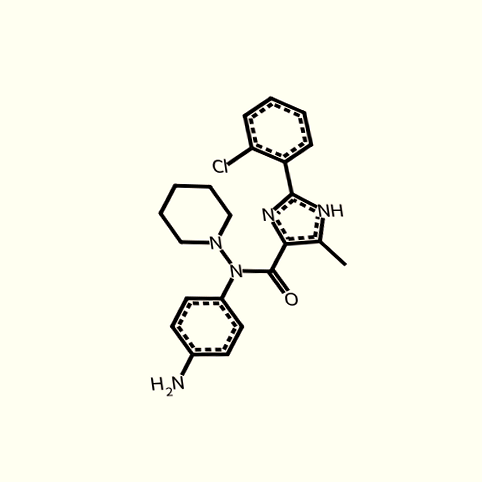 Cc1[nH]c(-c2ccccc2Cl)nc1C(=O)N(c1ccc(N)cc1)N1CCCCC1